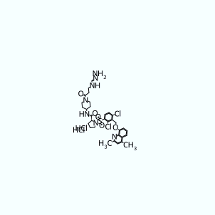 Cc1cc(C)c2cccc(OCc3c(Cl)ccc(S(=O)(=O)N4CCC[C@H]4C(=O)NC4CCN(C(=O)CCNC=NN)CC4)c3Cl)c2n1.Cl.Cl